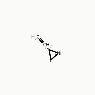 C1CN1.C=C